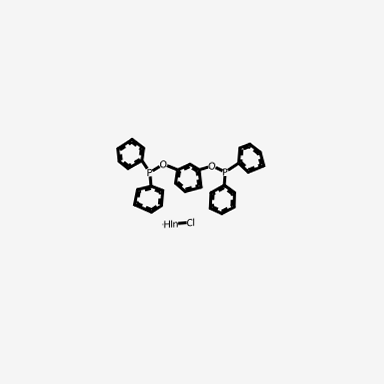 [Cl][InH].c1ccc(P(Oc2cccc(OP(c3ccccc3)c3ccccc3)c2)c2ccccc2)cc1